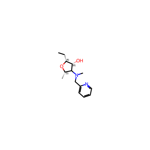 CC[C@H]1O[C@@H](C)C(N(C)Cc2ccccn2)[C@H]1O